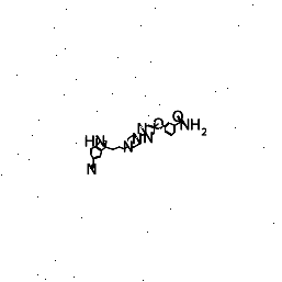 N#Cc1ccc2[nH]cc(CCCN3CCN(c4ncc(Oc5cccc(C(N)=O)c5)cn4)CC3)c2c1